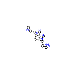 CC1c2cc3c4c(n(-c5cccnc5)c3c3c2-c2c(cc5c6cc(-c7cccc(-c8ccccc8N)c7)ccc6n(-c6cccnc6)c5c2C(C)C3C)C1C)CCC(c1ccc2[nH]c3ccccc3c2c1)=C4